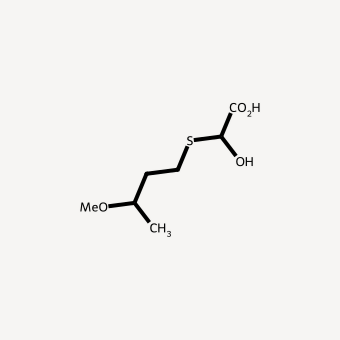 COC(C)CCSC(O)C(=O)O